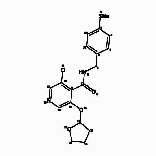 CSc1ccc(CNC(=O)c2c(Cl)cncc2OC2CCCO2)cc1